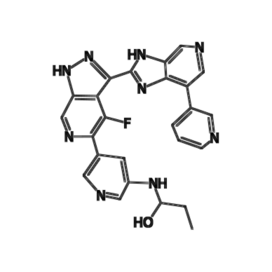 CCC(O)Nc1cncc(-c2ncc3[nH]nc(-c4nc5c(-c6cccnc6)cncc5[nH]4)c3c2F)c1